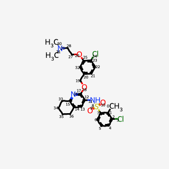 Cc1c(Cl)cccc1S(=O)(=O)Nc1cc2c(nc1OCc1ccc(Cl)c(OCCN(C)C)c1)CCCC2